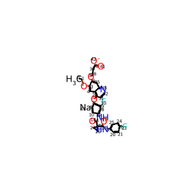 CCOc1cc2c(Oc3ccc(NC(=O)C4(C(=O)Nc5ccc(F)cc5)CC4)cc3F)ccnc2cc1OCCC(=O)[O-].[Na+]